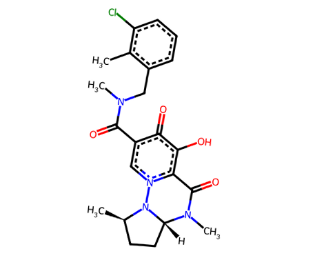 Cc1c(Cl)cccc1CN(C)C(=O)c1cn2c(c(O)c1=O)C(=O)N(C)[C@@H]1CC[C@@H](C)N12